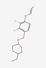 C/C=C/Oc1ccc(COC2CCC(CC)CC2)c(F)c1F